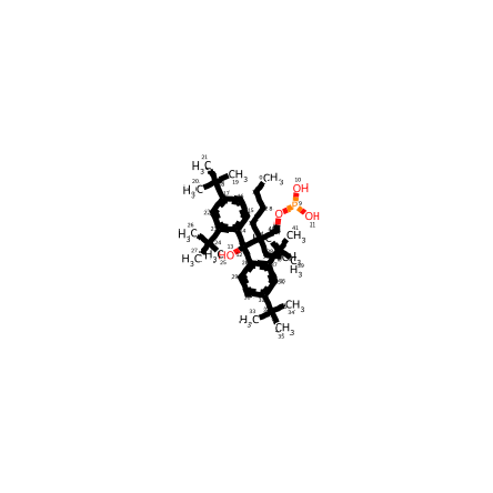 CCCCC(CC)(COP(O)O)C(O)(c1ccc(C(C)(C)C)cc1C(C)(C)C)c1ccc(C(C)(C)C)cc1C(C)(C)C